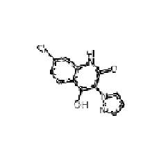 O=c1[nH]c2cc(Cl)ccc2c(O)c1-n1cccn1